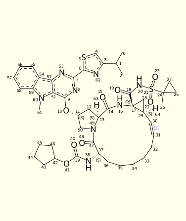 CC(C)c1csc(-c2nc(O[C@@H]3C[C@H]4C(=O)N[C@]5(C(=O)NS(=O)(=O)C6(C)CC6)C[C@H]5/C=C\CCCCC[C@H](NC(=O)OC5CCCC5)C(=O)N4C3)c3c(n2)c2ccccc2n3C)n1